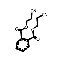 N#CCCOC(=O)c1ccccc1C(=O)OCCC#N